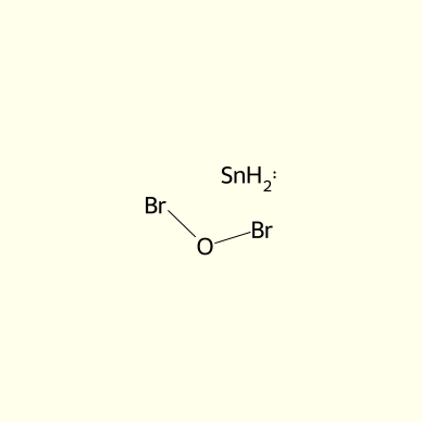 BrOBr.[SnH2]